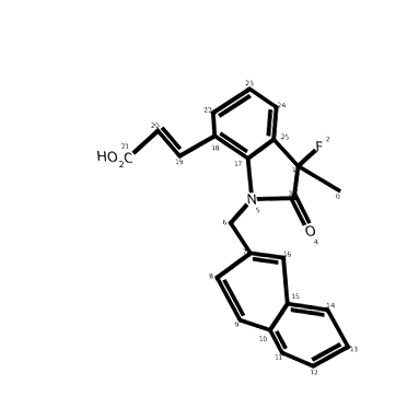 CC1(F)C(=O)N(Cc2ccc3ccccc3c2)c2c(/C=C/C(=O)O)cccc21